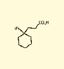 CC(C)C1(CCC(=O)O)CCCCC1